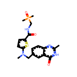 Cc1nc2ccc(CN(C)c3ccc(C(=O)NCP(C)(C)=O)s3)cc2c(=O)[nH]1